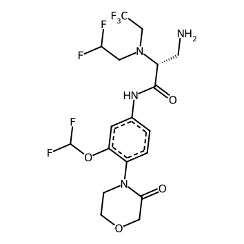 NC[C@H](C(=O)Nc1ccc(N2CCOCC2=O)c(OC(F)F)c1)N(CC(F)F)CC(F)(F)F